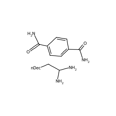 CCCCCCCCCCCC(N)N.NC(=O)c1ccc(C(N)=O)cc1